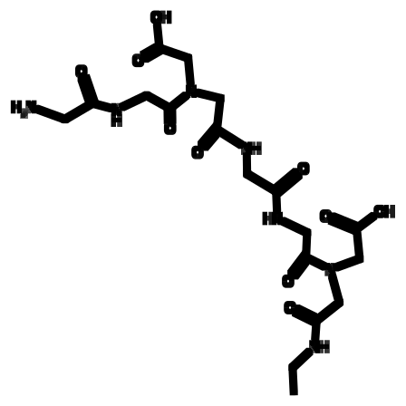 CCNC(=O)CN(CC(=O)O)C(=O)CNC(=O)CNC(=O)CN(CC(=O)O)C(=O)CNC(=O)CN